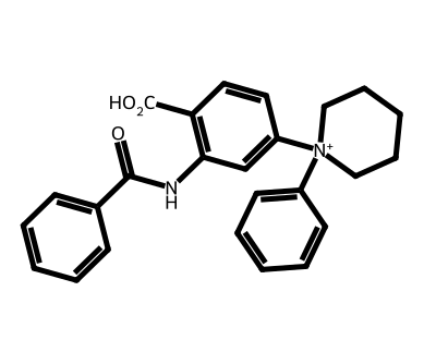 O=C(Nc1cc([N+]2(c3ccccc3)CCCCC2)ccc1C(=O)O)c1ccccc1